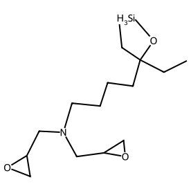 CCC(CC)(CCCCN(CC1CO1)CC1CO1)O[SiH3]